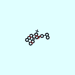 CC(C)(C)c1cc(-c2ccccc2N(c2ccc(-c3ccc(-c4cccc5ccccc45)cc3)cc2)c2ccccc2-c2cccc3cccc(-c4ccccc4)c23)cc(C(C)(C)C)c1